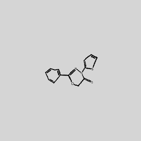 O=C1COC(c2ccccc2)=NN1c1cccs1